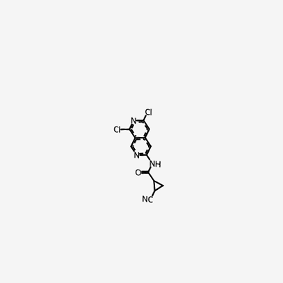 N#CC1CC1C(=O)Nc1cc2cc(Cl)nc(Cl)c2cn1